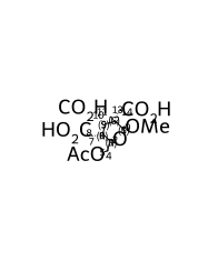 CO[C@H]1O[C@@H](COC(C)=O)[C@H](CC(=O)O)[C@H](CC(=O)O)[C@@H]1CC(=O)O